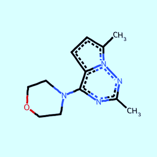 Cc1nc(N2CCOCC2)c2ccc(C)n2n1